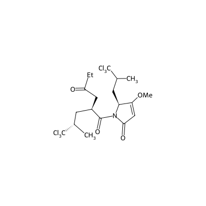 CCC(=O)C[C@H](C[C@H](C)C(Cl)(Cl)Cl)C(=O)N1C(=O)C=C(OC)[C@@H]1CC(C)C(Cl)(Cl)Cl